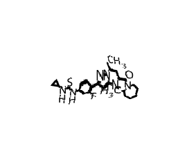 CCc1cc(C(=O)N2CCCCCC2C)nc2cc(-c3ccc(NC(=S)NC4CC4)cc3F)nn12